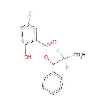 O=C(OC(c1ccccc1)C(F)(F)C(=O)O)c1cc(I)ccc1O